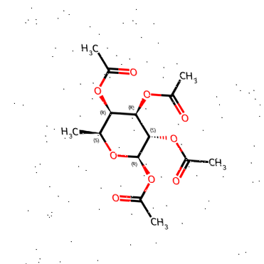 CC(=O)O[C@H]1O[C@@H](C)[C@@H](OC(C)=O)[C@@H](OC(C)=O)[C@@H]1OC(C)=O